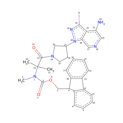 CN(C(=O)OCC1c2ccccc2-c2ccccc21)C(C)(C)C(=O)N1CCC(n2nc(I)c3c(N)cncc32)C1